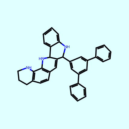 C1=C2C(c3cc(-c4ccccc4)cc(-c4ccccc4)c3)Nc3ccccc3C2Nc2c1ccc1c2NCCC1